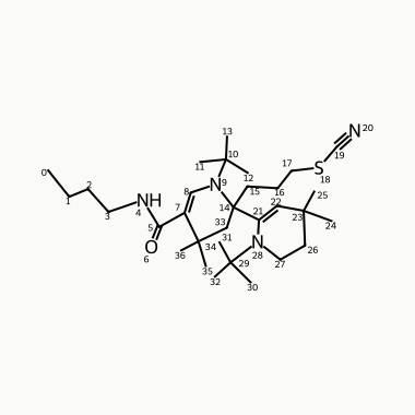 CCCCNC(=O)C1=CN(C(C)(C)C)C(CCCSC#N)(C2=CC(C)(C)CCN2C(C)(C)C)CC1(C)C